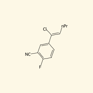 CCC/C=C(\Cl)c1ccc(F)c(C#N)c1